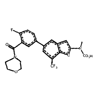 CN(C(=O)O)c1cc2cc(-c3ccc(F)c(C(=O)N4CCOCC4)c3)cc(C(F)(F)F)c2o1